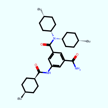 CCC(C)[C@H]1CC[C@@H](C(=O)Nc2cc(C(N)=O)cc(C(=O)N([C@H]3CC[C@@H](C(C)CC)CC3)[C@H]3CC[C@@H](C(C)CC)CC3)c2)CC1